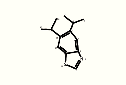 CC(C)c1cc2ncsc2cc1C(C)C